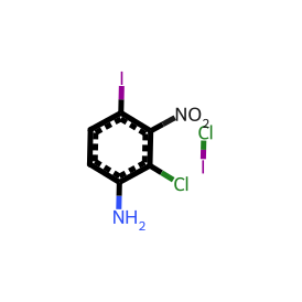 ClI.Nc1ccc(I)c([N+](=O)[O-])c1Cl